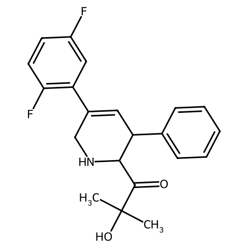 CC(C)(O)C(=O)C1NCC(c2cc(F)ccc2F)=CC1c1ccccc1